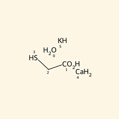 O.O=C(O)CS.[CaH2].[KH]